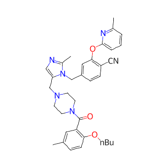 CCCCOc1ccc(C)cc1C(=O)N1CCN(Cc2cnc(C)n2Cc2ccc(C#N)c(Oc3cccc(C)n3)c2)CC1